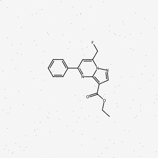 CCOC(=O)c1cnn2c(CF)cc(-c3ccccc3)nc12